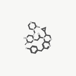 C[C@@H]1CN(CC(=O)N2c3cc(Cc4ccc(F)cc4)cnc3OCC2C2CC2)[C@@H](CN2CCOC[C@H]2C)CN1